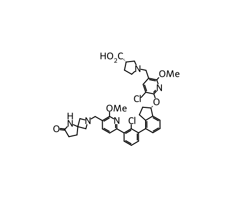 COc1nc(-c2cccc(-c3cccc4c3CC[C@@H]4Oc3nc(OC)c(CN4CC[C@H](C(=O)O)C4)cc3Cl)c2Cl)ccc1CN1CC2(CCC(=O)N2)C1